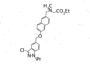 CCOC(=O)CN(C)Cc1ccc2cc(OCc3ccc4c(c3)c(Cl)nn4C(C)C)ccc2c1